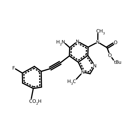 CN(C(=O)OC(C)(C)C)c1nc(N)c(C#Cc2cc(F)cc(C(=O)O)c2)c2c1ncn2C